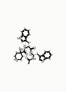 CC(=O)N[C@@H](Cc1csc2ccccc12)NC(=O)[C@@H](Cc1c[nH]c2ccccc12)NC(=O)C1(N)CCNCC1